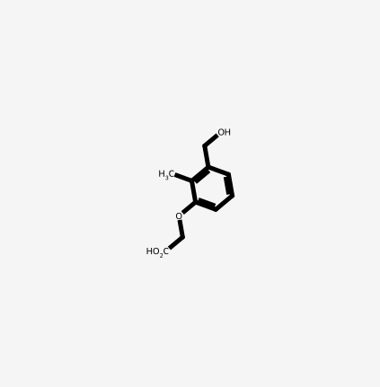 Cc1c(CO)cccc1OCC(=O)O